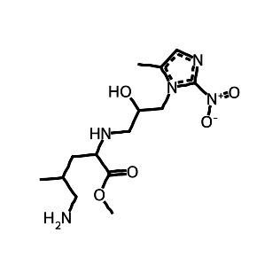 COC(=O)C(CC(C)CN)NCC(O)Cn1c(C)cnc1[N+](=O)[O-]